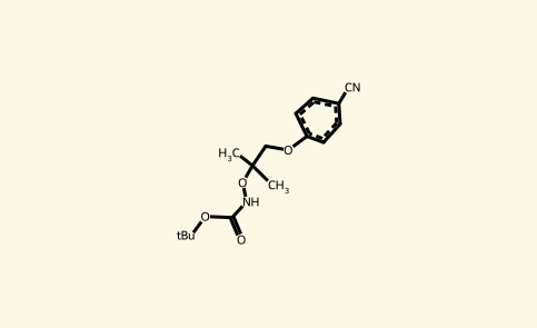 CC(C)(C)OC(=O)NOC(C)(C)COc1ccc(C#N)cc1